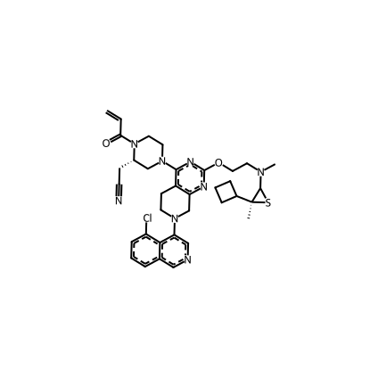 C=CC(=O)N1CCN(c2nc(OCCN(C)C3S[C@@]3(C)C3CCC3)nc3c2CCN(c2cncc4cccc(Cl)c24)C3)C[C@@H]1CC#N